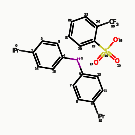 CC(C)c1ccc([I+]c2ccc(C(C)C)cc2)cc1.O=S(=O)([O-])c1ccccc1C(F)(F)F